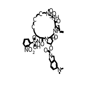 C=C[C@@H]1C[C@@]12NC(=O)[C@@H]1C[C@@H](OC(=O)N3Cc4ccc(N(C)C)cc4C3)CN1C(=O)[C@@H](NS(=O)(=O)c1ccccc1[N+](=O)[O-])CCCCCCCCN(C)S(=O)(=O)NC2=O